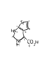 O=C(O)C1NCNc2sccc21